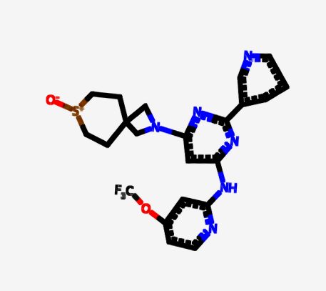 [O-][S+]1CCC2(CC1)CN(c1cc(Nc3cc(OC(F)(F)F)ccn3)nc(-c3cccnc3)n1)C2